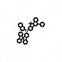 CC1(C)c2cc(N(c3ccc4c(c3)C3(c5ccccc5-c5ccccc53)c3ccccc3-4)c3ccc4ccccc4c3)ccc2-c2cc(-c3ccccc3)c3ccccc3c21